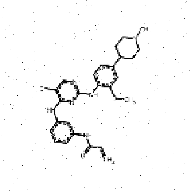 C=CC(=O)Nc1cccc(Nc2nc(Nc3ccc(C4CCN(C)CC4)cc3OC)ncc2Cl)c1